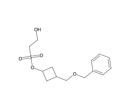 O=S(=O)(CCO)OC1CC(COCc2ccccc2)C1